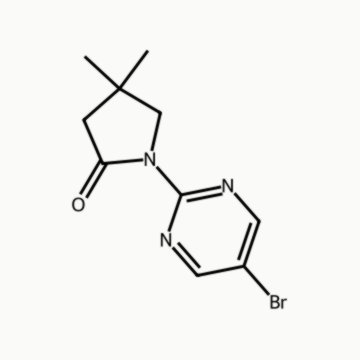 CC1(C)CC(=O)N(c2ncc(Br)cn2)C1